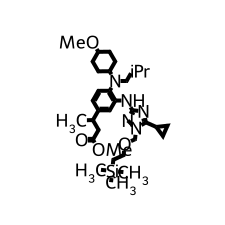 COC(=O)CC(C)c1ccc(N(CC(C)C)C2CCC(OC)CC2)c(Nc2nc(C3CC3)n(COCC[Si](C)(C)C)n2)c1